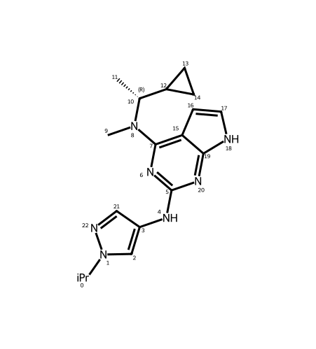 CC(C)n1cc(Nc2nc(N(C)[C@H](C)C3CC3)c3cc[nH]c3n2)cn1